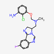 CN(COc1cccc(N)c1Cl)CC1CN=C2c3cc(I)ccc3N=CN21